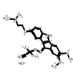 C#CC(C)(C)ON=C1c2cc(OC)c(OC)cc2-c2[nH]c3ccc(OCCN(C)C)cc3c21.Cl